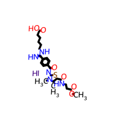 COC(=O)CCNC(=O)C1SC(=NC(=O)c2ccc(C(=N)NCCCCCC(=O)O)cc2)N(C)C1C.I